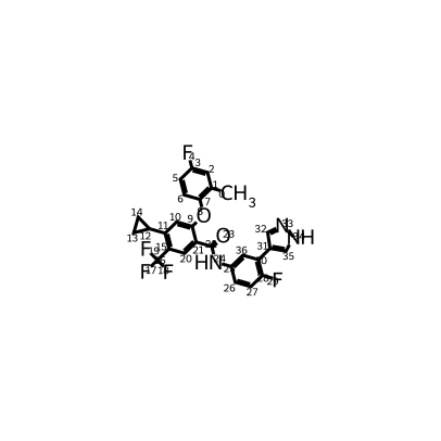 Cc1cc(F)ccc1Oc1cc(C2CC2)c(C(F)(F)F)cc1C(=O)Nc1ccc(F)c(-c2cn[nH]c2)c1